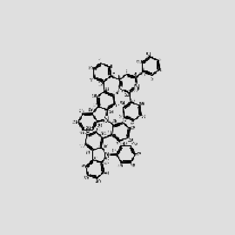 c1ccc(-c2cc(-c3ccccc3-c3ccc4c(c3)c3ccccc3n4-c3ccccc3-c3cccc4c5ccccc5n(-c5ccccc5)c34)nc(-c3ccccc3)n2)cc1